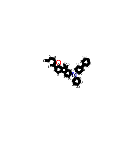 C=C/C=C\c1oc2c3c(ccc2c1C)-c1ccc(N(c2ccccc2)c2ccc(-c4ccccc4)cc2)cc1C3(C)C